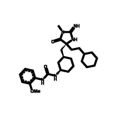 COc1ccccc1NC(=O)N[C@@H]1CCC[C@H](C[C@@]2(CCC3CCCCC3)NC(=N)N(C)C2=O)C1